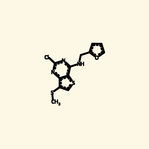 CSc1csc2c(NCc3ccco3)nc(Cl)nc12